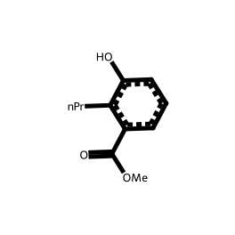 CCCc1c(O)cccc1C(=O)OC